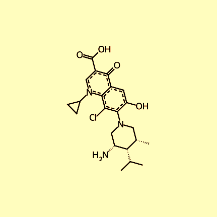 CC(C)[C@@H]1[C@H](N)CN(c2c(O)cc3c(=O)c(C(=O)O)cn(C4CC4)c3c2Cl)C[C@@H]1C